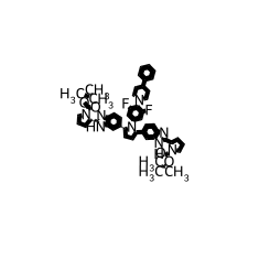 CC(C)(C)OC(=O)N1CCCC1c1nc2ccc(C3CC[C@H](c4ccc5nc([C@@H]6CCCN6C(=O)OC(C)(C)C)[nH]c5c4)N3c3cc(F)c(N4CCC(c5ccccc5)CC4)c(F)c3)cc2[nH]1